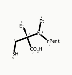 CCCCCN(CC)[C@@](CC)(CS)C(=O)O